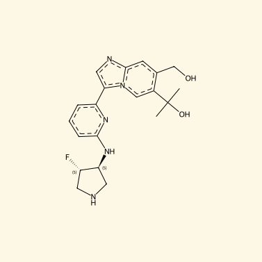 CC(C)(O)c1cn2c(-c3cccc(N[C@H]4CNC[C@@H]4F)n3)cnc2cc1CO